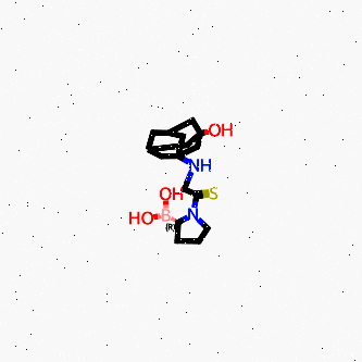 OB(O)[C@@H]1CCCN1C(=S)CNC12CC3CC(CC(O)(C3)C1)C2